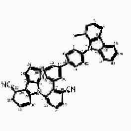 CC1CC=Cc2c1n(-c1ccc(-c3cccc(-c4c(C#N)cccc4-n4c5c(c6cccnc64)C(C#N)CC=C5)c3)cc1)c1ccccc21